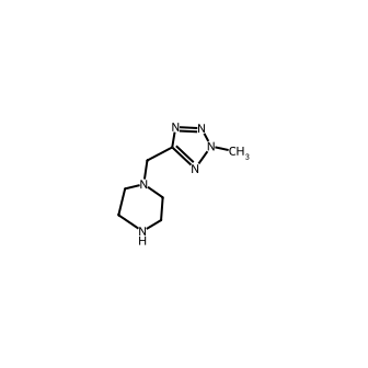 Cn1nnc(CN2CCNCC2)n1